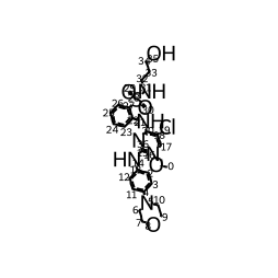 COc1cc(N2CCOCC2)ccc1Nc1ncc(Cl)c(Nc2ccccc2S(=O)(=O)NCCCO)n1